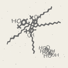 CCCCCCCCCCCCCC(C)(c1cc(C(C)(C)C)c(O)cc1C)C(CCCCCCCCCCCCC)(CCCCCCCCCCCCC)C(CCCCCCCCCCCCC)(c1cc(C(C)(C)C)c(O)cc1C)c1cc(C(C)(C)C)c(O)cc1C.O=P(O)(O)O.O=P(O)(O)O